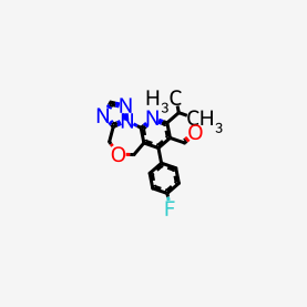 CC(C)c1nc2c(c(-c3ccc(F)cc3)c1C=O)COCc1ncnn1-2